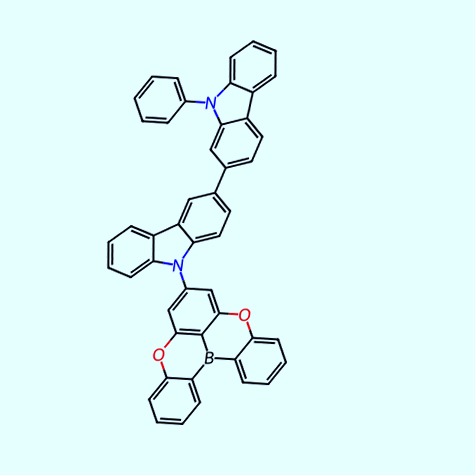 c1ccc(-n2c3ccccc3c3ccc(-c4ccc5c(c4)c4ccccc4n5-c4cc5c6c(c4)Oc4ccccc4B6c4ccccc4O5)cc32)cc1